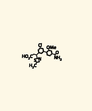 COc1cc(C(N)=O)ccc1-c1cc(Cl)cc(C(CC(=O)O)c2ncc(C)s2)c1